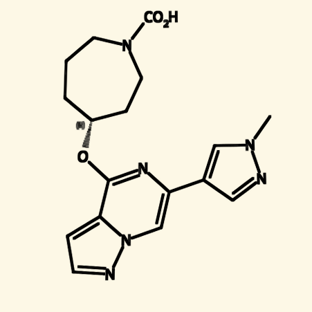 Cn1cc(-c2cn3nccc3c(O[C@@H]3CCCN(C(=O)O)CC3)n2)cn1